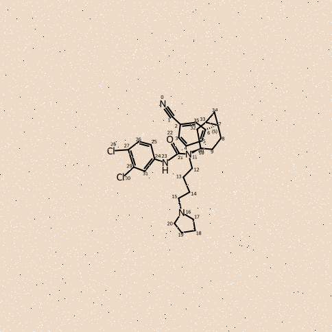 N#Cc1cccc([C@]23CC[C@@H](N(CCCCN4CCCC4)C(=O)Nc4ccc(Cl)c(Cl)c4)CC2C3)c1